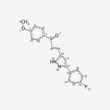 COc1ccc(C(=O)/C=C/c2cc(-c3ccc(F)cc3)n[nH]2)cc1